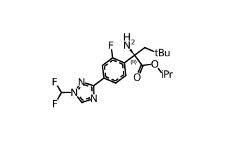 CC(C)OC(=O)[C@@](N)(CC(C)(C)C)c1ccc(-c2ncn(C(F)F)n2)cc1F